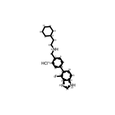 Cl.Fc1c(-c2ccc(CNCCC3CCCCC3)cc2)ccc2[nH]cnc12